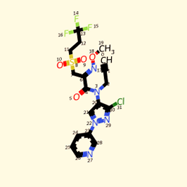 C#CCN(C(=O)C(CS(=O)(=O)CCC(F)(F)F)=NOC)c1cn(-c2cccnc2)nc1Cl